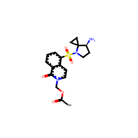 CC(C)C(=O)OCn1ccc2c(S(=O)(=O)N3CC[C@H](N)C34CC4)cccc2c1=O